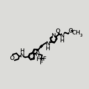 COCCNC(=O)c1ccc(NCC#Cc2cc3cc(CNC4CCOCC4)ccc3n2CC(F)(F)F)cn1